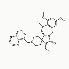 CCN1C(=O)N2Cc3cc(OC)cc(OC)c3C(C)C=C2C12CCN(Cc1cccc3nccnc13)CC2